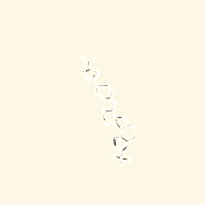 CC(C)c1noc(N2CCC(Oc3ncnc4c(-c5ccc(S(C)(=O)=O)cc5F)n(C)nc34)CC2)n1